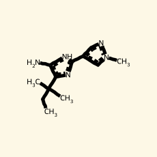 CCC(C)(C)c1nc(-c2cnn(C)c2)[nH]c1N